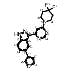 FC1(F)CCN(c2cc(-c3n[nH]c4ccc(-c5ccoc5)cc34)ncn2)CC1